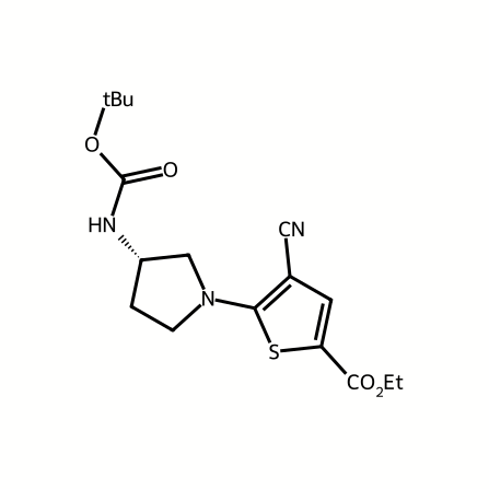 CCOC(=O)c1cc(C#N)c(N2CC[C@H](NC(=O)OC(C)(C)C)C2)s1